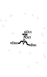 CCCCCCCCCCCC[N+](C)(C)CCCCCCCCCCCC.CCCCCCCC[N+](C)(C)CCCCCCCC